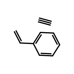 C#C.C=Cc1ccccc1